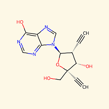 C#C[C@H]1[C@H](n2cnc3c(O)ncnc32)O[C@](C#C)(CO)[C@H]1O